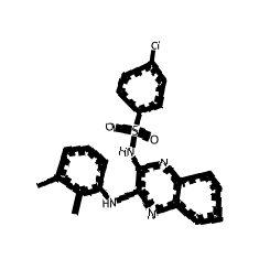 Cc1cccc(Nc2nc3ccccc3nc2NS(=O)(=O)c2ccc(Cl)cc2)c1C